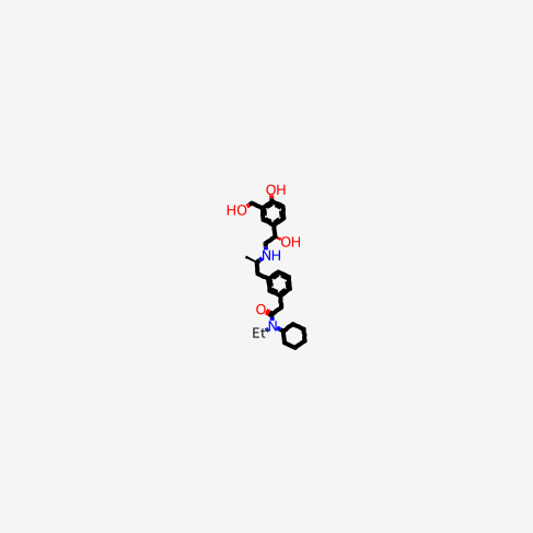 CCN(C(=O)Cc1cccc(C[C@@H](C)NC[C@H](O)c2ccc(O)c(CO)c2)c1)C1CCCCC1